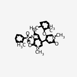 Cc1ccccc1S(=O)(=O)n1c(Cl)cc2c(-c3cc(=O)n(C)cc3Oc3c(C)cccc3C)cn(C)c(=O)c21